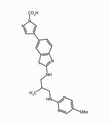 CSc1cnc(NCC(C)CNc2nc3ccc(-c4cnn(C(=O)O)c4)cc3s2)nc1